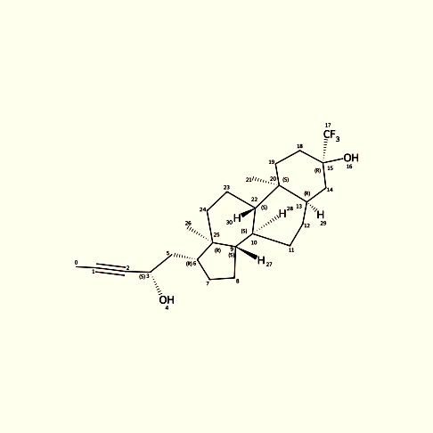 CC#C[C@@H](O)C[C@H]1CC[C@H]2[C@@H]3CC[C@@H]4C[C@@](O)(C(F)(F)F)CC[C@]4(C)[C@H]3CC[C@]12C